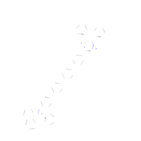 c1ccc2c(-n3c4ccccc4c4cc(-c5ccc(-c6ccc(-c7ccc(-c8cnc9c%10ccccc%10c%10ccccc%10c9n8)cc7)cc6)cc5)ccc43)cccc2c1